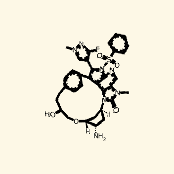 Cn1cc(-c2c3c4c(ncc5c4n(c(=O)n5C)[C@H]4C[C@H](N)[C@@H](C4)OCC(O)Cc4ccc-3cc4)n2S(=O)(=O)c2ccccc2)c(F)n1